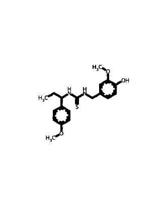 CCC(NC(=S)NCc1ccc(O)c(OC)c1)c1ccc(OC)cc1